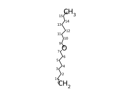 C=CCCCCCCOCCCCCCCC